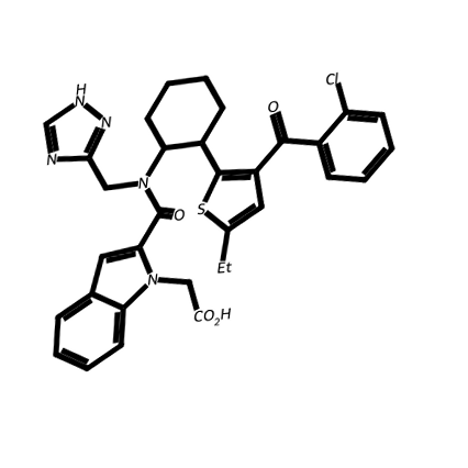 CCc1cc(C(=O)c2ccccc2Cl)c(C2CCCCC2N(Cc2nc[nH]n2)C(=O)c2cc3ccccc3n2CC(=O)O)s1